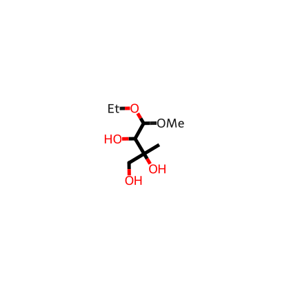 CCOC(OC)C(O)C(C)(O)CO